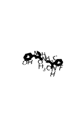 Cc1ccc(F)c2c1C(CCNC(=O)c1ccnc(-c3cccc(O)c3)c1)C(C)N2